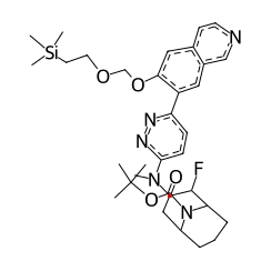 CN(c1ccc(-c2cc3cnccc3cc2OCOCC[Si](C)(C)C)nn1)C1CC2CCCC(C1F)N2C(=O)OC(C)(C)C